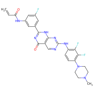 C=CC(=O)Nc1cc(F)cc(-c2nc(=O)c3cnc(Nc4ccc(N5CCN(C)CC5)c(F)c4F)nc3[nH]2)c1